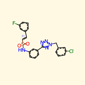 O=S(=O)(/C=C/c1cccc(F)c1)Nc1cccc(-c2nnn(Cc3cccc(Cl)c3)n2)c1